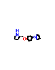 c1ccn(-c2ccc(OC[C@H]3CCCN3)cc2)c1